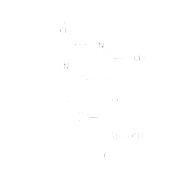 O=C(Cl)c1ccc2nc(Cl)nc(Cl)c2c1